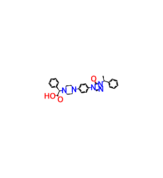 C[C@@H](c1ccccc1)n1ncn(-c2ccc(N3CCN([C@@H](C(=O)O)c4ccccc4)CC3)cc2)c1=O